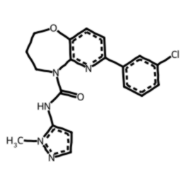 Cn1nccc1NC(=O)N1CCCOc2ccc(-c3cccc(Cl)c3)nc21